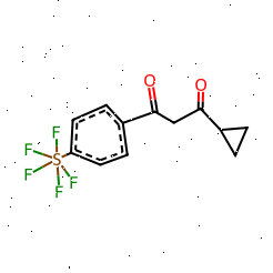 O=C(CC(=O)C1CC1)c1ccc(S(F)(F)(F)(F)F)cc1